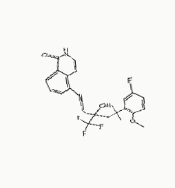 COc1ccc(F)cc1C(C)(C)CC(O)(/C=N/c1cccc2c(=O)[nH]ccc12)C(F)(F)F